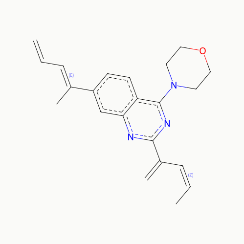 C=C/C=C(\C)c1ccc2c(N3CCOCC3)nc(C(=C)/C=C\C)nc2c1